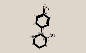 CC[C@@H]1CCCN[C@H]1C1C=CC(C(F)(F)F)=CC1